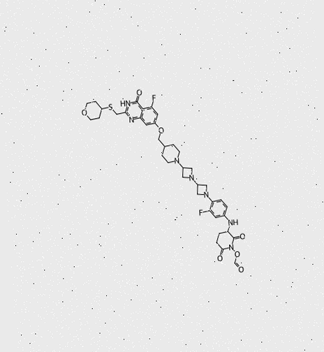 O=CON1C(=O)CCC(Nc2ccc(N3CC(N4CC(N5CCC(COc6cc(F)c7c(=O)[nH]c(CSC8CCOCC8)nc7c6)CC5)C4)C3)c(F)c2)C1=O